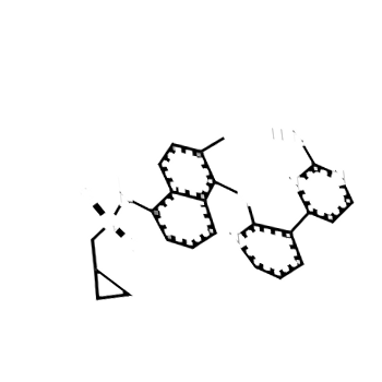 Cc1ccc2c(NS(=O)(=O)CC3CC3)cccc2c1Oc1ncccc1-c1ccnc(N)n1